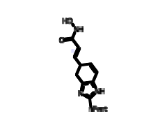 CCCCCc1nc2c([nH]1)C=CC(/C=C/C(=O)NO)C2